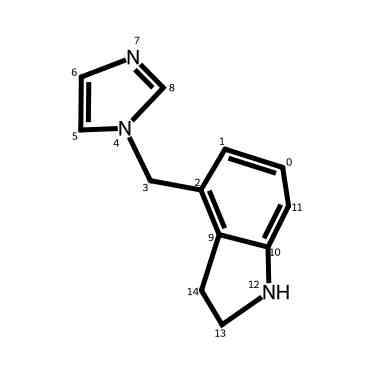 c1cc(Cn2ccnc2)c2c(c1)NCC2